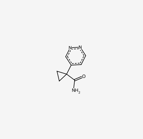 NC(=O)C1(c2ccnnc2)CC1